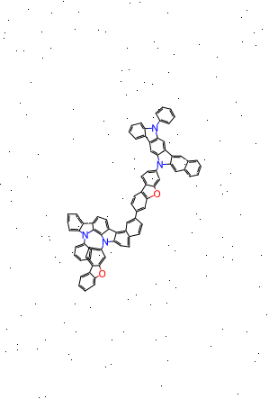 c1ccc(-n2c3ccccc3c3cc4c(cc32)c2cc3ccccc3cc2n4-c2ccc3c(c2)oc2cc(-c4ccc5ccc6c(c5c4)c4ccc5c7ccccc7n(-c7ccccc7)c5c4n6-c4ccc5c(c4)oc4ccccc45)ccc23)cc1